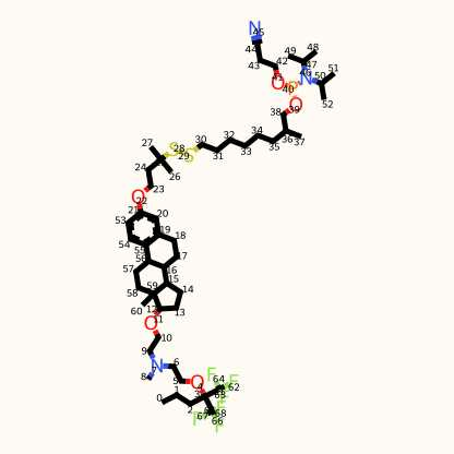 CCCC(OCCN(C)CCOC1CCC2C3CCc4cc(OCCC(C)(C)SSCCCCCCC(C)COP(OCCC#N)N(C(C)C)C(C)C)ccc4C3CCC12C)(C(F)(F)F)C(F)(F)F